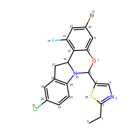 CCc1ncc(C2Oc3cc(Br)cc(F)c3C3Cc4cc(Cl)ccc4N32)s1